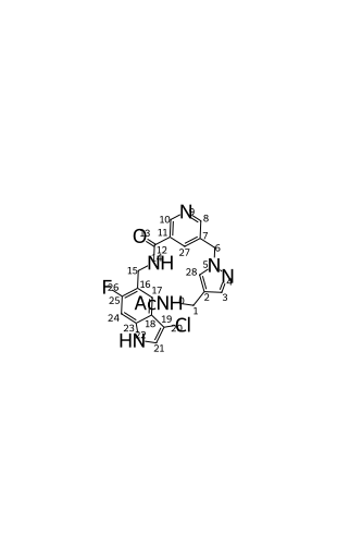 CC(=O)NCc1cnn(Cc2cncc(C(=O)NCc3cc4c(Cl)c[nH]c4cc3F)c2)c1